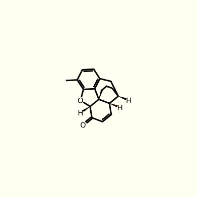 Cc1ccc2c3c1O[C@H]1C(=O)C=C[C@H]4[C@H](CCC[C@]314)C2